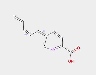 C=C/C=C\C=C1\C=CC(C(=O)O)=IC1